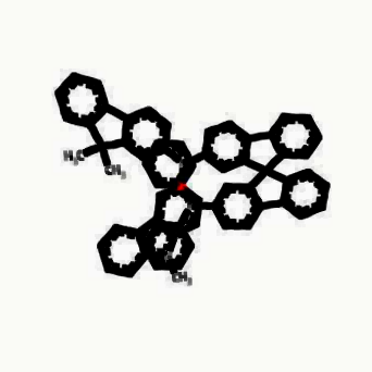 Cn1c2ccccc2c2cc(N(c3ccc4c(c3)C(C)(C)c3ccccc3-4)c3ccc4c(c3)C3(c5ccccc5-c5ccc(N(c6ccccc6)c6ccccc6)cc53)c3ccccc3-4)ccc21